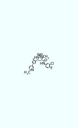 Cc1ccc(-c2csc(C3CC(C(=O)Nc4ccc(F)c(Cl)c4)N(C)S(=O)(=O)N3)c2)cn1